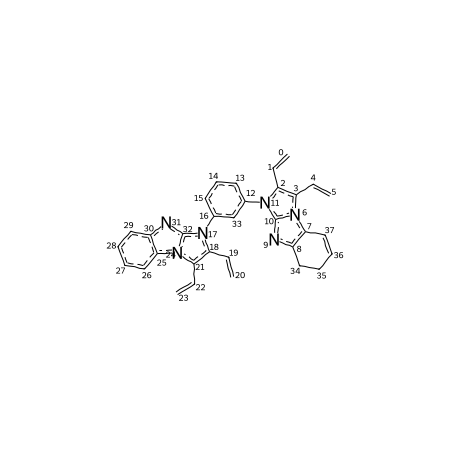 C=Cc1c(C=C)n2c3c(nc2n1-c1cccc(-n2c(C=C)c(C=C)n4c5ccccc5nc24)c1)CCC=C3